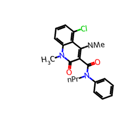 CCCN(C(=O)c1c(NC)c2c(Cl)cccc2n(C)c1=O)c1ccccc1